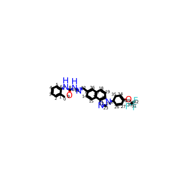 Cc1ccccc1NC(=O)N/N=C/c1ccc2c(ccc3c2ncn3C2C=CC(OC(F)(F)F)=CC2)c1